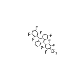 Fc1ccc2c(-c3c(F)c(F)cc(F)c3F)c3ccccc3c(-c3c(F)c(F)c(C(F)(F)F)c(F)c3F)c2c1